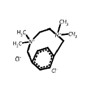 C[N+]1(C)CC[N+](C)(C)Cc2ccc(cc2)C1.[Cl-].[Cl-]